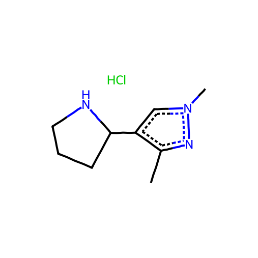 Cc1nn(C)cc1C1CCCN1.Cl